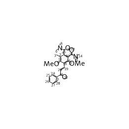 COc1c(C)c(C(=O)N(C)C)c(C(=O)N(C)C)c(OC)c1C=CC(=O)c1ccccc1